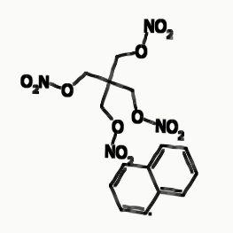 O=[N+]([O-])OCC(CO[N+](=O)[O-])(CO[N+](=O)[O-])CO[N+](=O)[O-].[c]1cccc2ccccc12